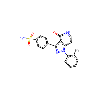 NS(=O)(=O)c1ccc(-c2nn(-c3ccccc3C(F)(F)F)c3cc[nH]c(=O)c23)cc1